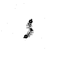 Cc1ccc(S(=O)(=O)NC(=O)Nc2cc(C)c(NC(=O)NS(=O)(=O)c3ccc(C)cc3)o2)cc1